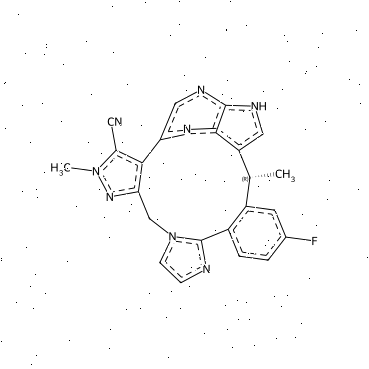 C[C@@H]1c2cc(F)ccc2-c2nccn2Cc2nn(C)c(C#N)c2-c2cnc3[nH]cc1c3n2